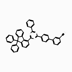 N#Cc1cccc(-c2ccc(-c3nc(-c4ccccc4)nc(-c4cccc5c4-c4ccccc4C5(c4ccccc4)c4ccccc4)n3)cc2)c1